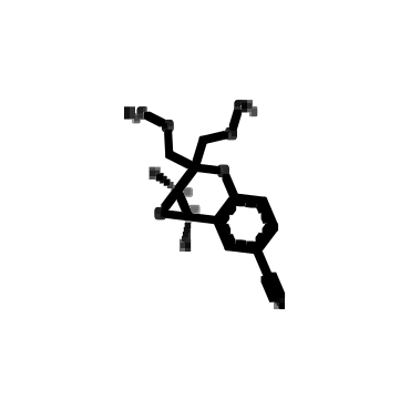 COCC1(COC)Oc2ccc(C#N)cc2[C@H]2O[C@H]21